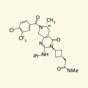 CNC(=O)C[C@H]1C[C@@H](n2c(NC(C)C)nc3c(c2=O)C[C@@H](C)N(C(=O)c2ccc(Cl)c(C(F)(F)F)c2)C3)C1